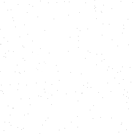 CCCCCCCCCCCC[N+](C)(CCC)C(N)(OC)C(=O)C=Cc1ccccc1.Cc1ccc(S(=O)(=O)[O-])cc1